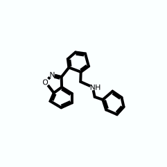 c1ccc(CNCc2ccccc2-c2noc3ccccc23)cc1